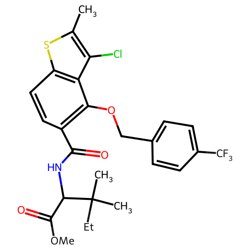 CCC(C)(C)C(NC(=O)c1ccc2sc(C)c(Cl)c2c1OCc1ccc(C(F)(F)F)cc1)C(=O)OC